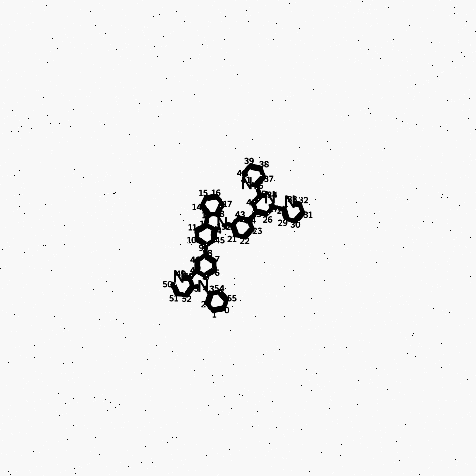 c1ccc(-n2c3ccc(-c4ccc5c6ccccc6n(-c6cccc(-c7cc(-c8ccccn8)nc(-c8ccccn8)c7)c6)c5c4)cc3c3ncccc32)cc1